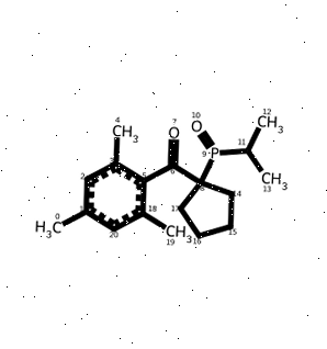 Cc1cc(C)c(C(=O)C2([P](=O)C(C)C)CCCC2)c(C)c1